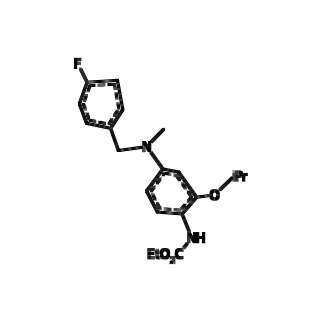 CCOC(=O)Nc1ccc(N(C)Cc2ccc(F)cc2)cc1OC(C)C